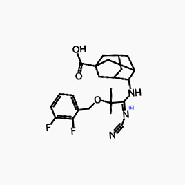 CC(C)(OCc1cccc(F)c1F)/C(=N\C#N)NC1C2CC3CC1CC(C(=O)O)(C3)C2